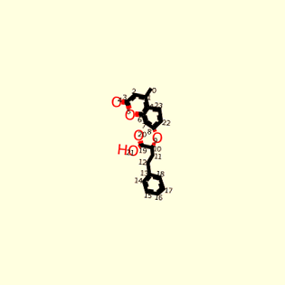 Cc1cc(=O)oc2cc(OC(CCc3ccccc3)C(=O)O)ccc12